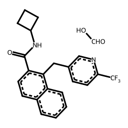 O=C(NC1CCC1)c1ccc2ccccc2c1Cc1ccc(C(F)(F)F)nc1.O=CO